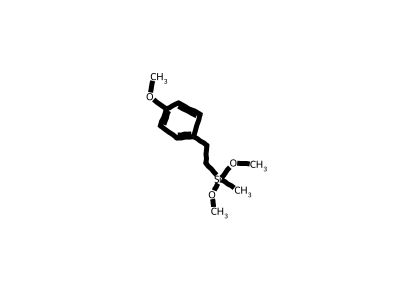 COc1ccc(CC[Si](C)(OC)OC)cc1